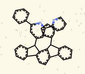 c1ccc(-c2cc(C3c4ccccc4-c4ccc5c(c43)C(c3ccccc3)c3ccccc3-5)cc(-c3ccccn3)n2)cc1